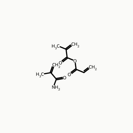 C=C(C)C(N)=O.C=CC(=O)OC(=O)C(=C)C